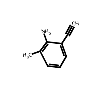 C#Cc1cccc(C)c1N